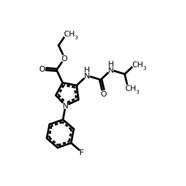 CCOC(=O)c1cn(-c2cccc(F)c2)cc1NC(=O)NC(C)C